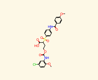 COc1ccc(C(=O)Nc2ccc(S(=O)(=O)C(CCOC(=O)Nc3cc(Cl)ccc3OC)C(=O)O)cc2)cc1